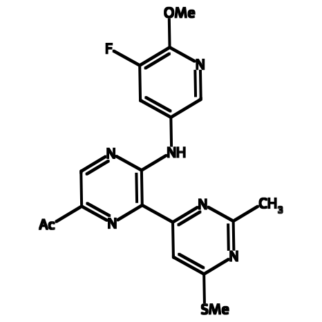 COc1ncc(Nc2ncc(C(C)=O)nc2-c2cc(SC)nc(C)n2)cc1F